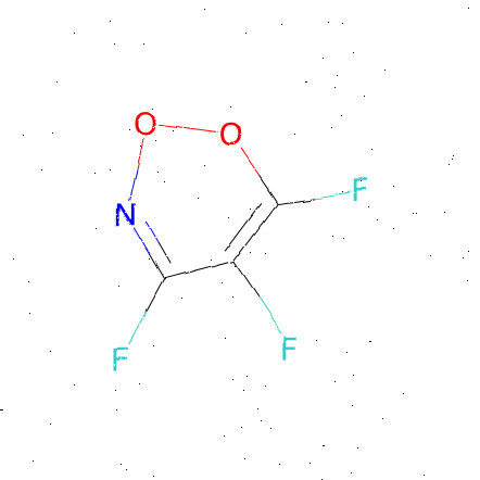 FC1=NOOC(F)=C1F